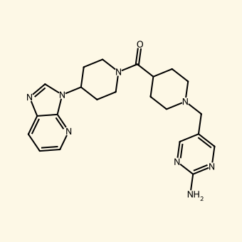 Nc1ncc(CN2CCC(C(=O)N3CCC(n4cnc5cccnc54)CC3)CC2)cn1